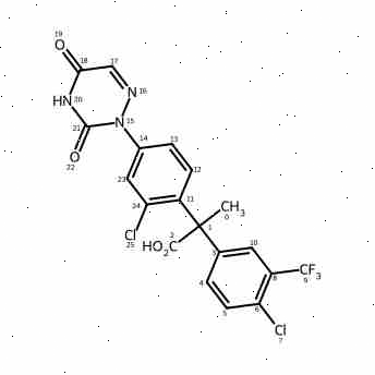 CC(C(=O)O)(c1ccc(Cl)c(C(F)(F)F)c1)c1ccc(-n2ncc(=O)[nH]c2=O)cc1Cl